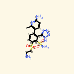 Cc1nc(N)ccc1-c1ccc(S(=O)(=O)CCN)c(S(N)(=O)=O)c1-c1nnn[nH]1